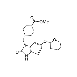 COC(=O)[C@H]1CC[C@H](Cn2c(=O)[nH]c3ccc(OC4CCCCO4)cc32)CC1